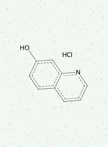 Cl.Oc1ccc2cccnc2c1